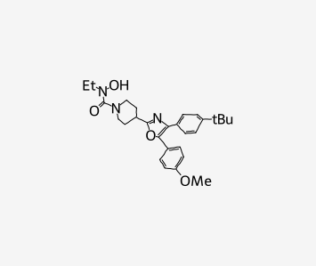 CCN(O)C(=O)N1CCC(c2nc(-c3ccc(C(C)(C)C)cc3)c(-c3ccc(OC)cc3)o2)CC1